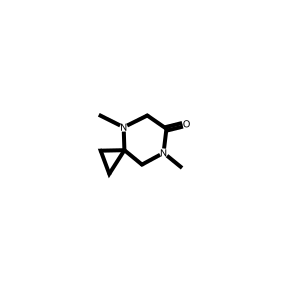 CN1CC2(CC2)N(C)CC1=O